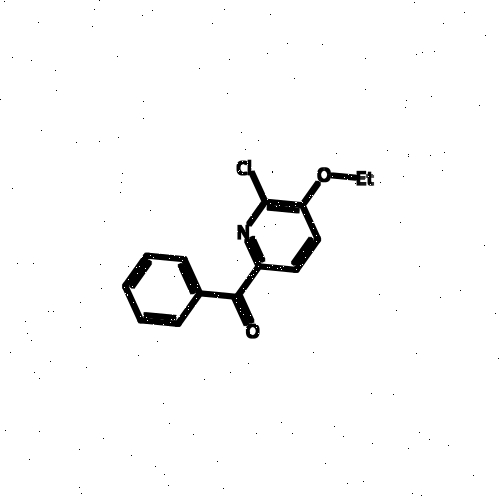 CCOc1ccc(C(=O)c2ccccc2)nc1Cl